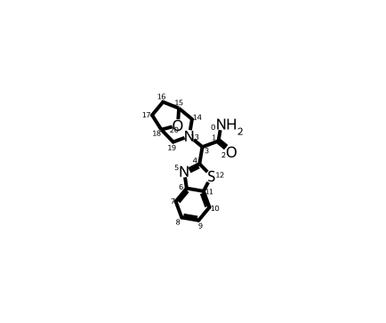 NC(=O)C(c1nc2ccccc2s1)N1CC2CCC(C1)O2